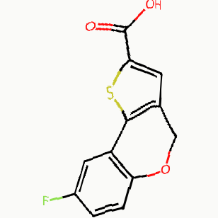 O=C(O)c1cc2c(s1)-c1cc(F)ccc1OC2